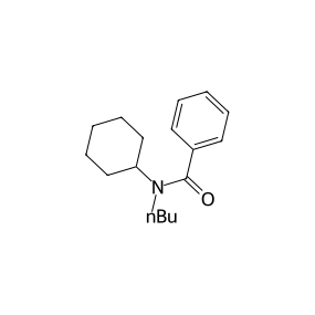 CCCCN(C(=O)c1ccccc1)C1CCCCC1